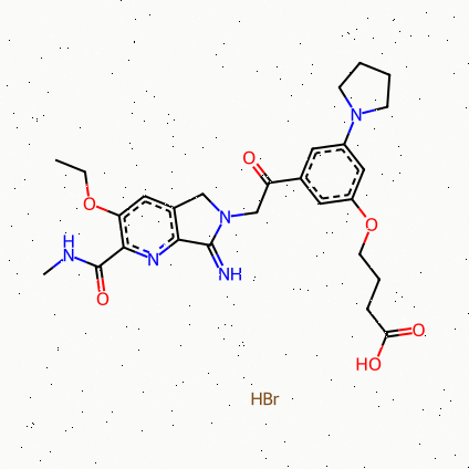 Br.CCOc1cc2c(nc1C(=O)NC)C(=N)N(CC(=O)c1cc(OCCCC(=O)O)cc(N3CCCC3)c1)C2